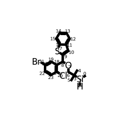 C[SiH](C)C(C)(C)COC(c1cc2ccccc2s1)c1cc(Br)ccc1Cl